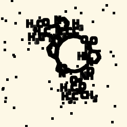 CCn1c(-c2cccnc2[C@H](C)OC)c2c3cc(ccc31)-c1cnc(o1)C[C@H](NC(=O)OC(C)(C)C)C(=O)N1CCC[C@H](N1)C(=O)OCC(C)(C)C2